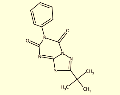 CC(C)(C)c1nn2c(=O)n(-c3ccccc3)c(=O)nc2s1